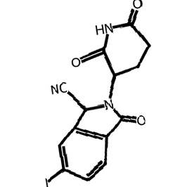 N#CC1c2cc(I)ccc2C(=O)N1C1CCC(=O)NC1=O